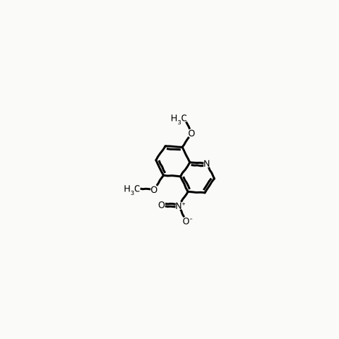 COc1ccc(OC)c2c([N+](=O)[O-])ccnc12